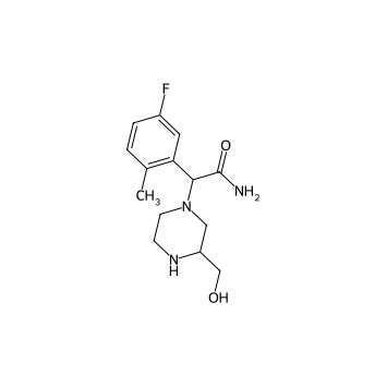 Cc1ccc(F)cc1C(C(N)=O)N1CCNC(CO)C1